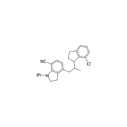 CC(Cc1ccc(C#N)c2c1CCN2C(C)C)C1CCc2cccc(Cl)c21